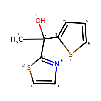 CC(O)(c1cccs1)c1nccs1